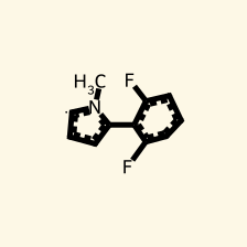 Cn1[c]ccc1-c1c(F)cccc1F